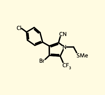 CSCn1c(C#N)c(-c2ccc(Cl)cc2)c(Br)c1C(F)(F)F